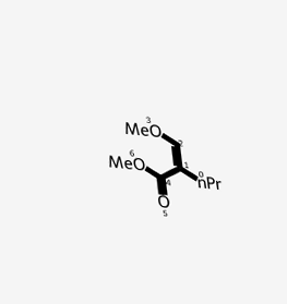 CCCC(=COC)C(=O)OC